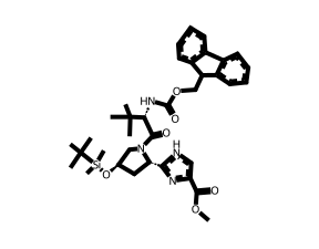 COC(=O)c1c[nH]c([C@@H]2C[C@@H](O[Si](C)(C)C(C)(C)C)CN2C(=O)[C@@H](NC(=O)OCC2c3ccccc3-c3ccccc32)C(C)(C)C)n1